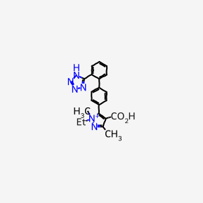 CC[N+]1(C)N=C(C)C(C(=O)O)=C1c1ccc(-c2ccccc2-c2nnn[nH]2)cc1